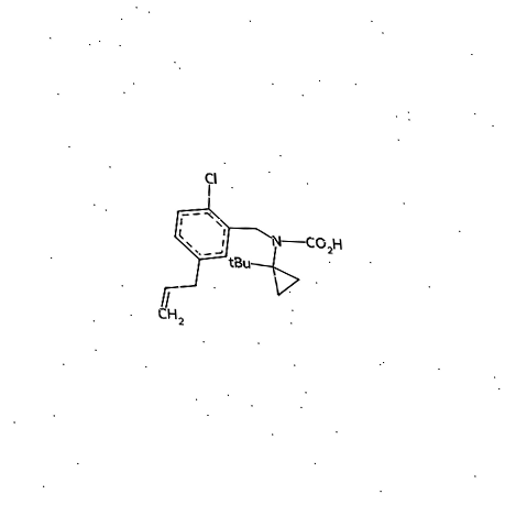 C=CCc1ccc(Cl)c(CN(C(=O)O)C2(C(C)(C)C)CC2)c1